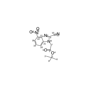 CC(C)(C)OC(=O)Cn1c(C#N)nc2c([N+](=O)[O-])cccc21